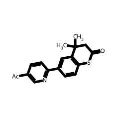 CC(=O)c1ccc(-c2ccc3c(c2)C(C)(C)CC(=O)S3)nc1